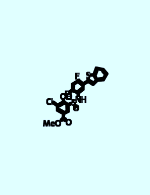 COC(=O)c1cc(Cl)c(O)c(S(=O)(=O)Nc2cc(-c3cc4ccccc4s3)c(F)cc2F)c1